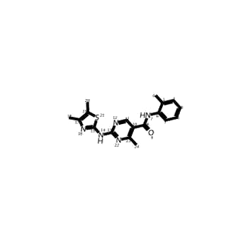 Cc1ccccc1NC(=O)c1cnc(Nc2nc(C)c(C)s2)nc1C